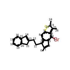 CC1=Cc2c(Br)c3c(cc2=C1CCC1=Cc2ccccc2C1)SC(C)C=3C